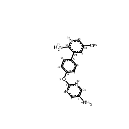 Nc1cnc(Oc2ccc(-c3cc(Cl)cnc3N)cc2)nc1